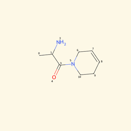 CC(N)C(=O)N1CC=[C]CC1